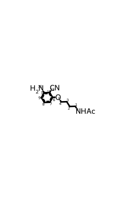 CC(=O)NCCCCOc1cccc(N)c1C#N